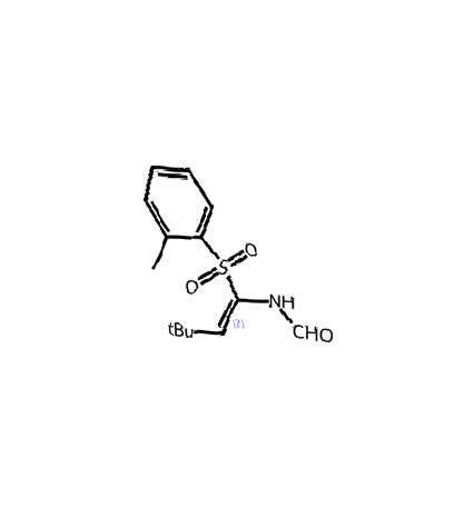 Cc1ccccc1S(=O)(=O)/C(=C\C(C)(C)C)NC=O